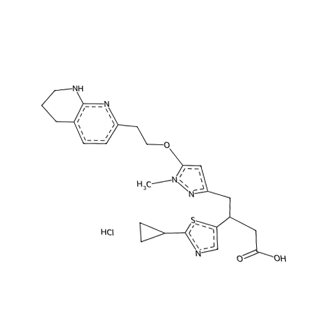 Cl.Cn1nc(CC(CC(=O)O)c2cnc(C3CC3)s2)cc1OCCc1ccc2c(n1)NCCC2